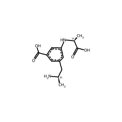 C[C@H](Nc1cc(C[C@@H](C)N)cc(C(=O)O)c1)C(=O)O